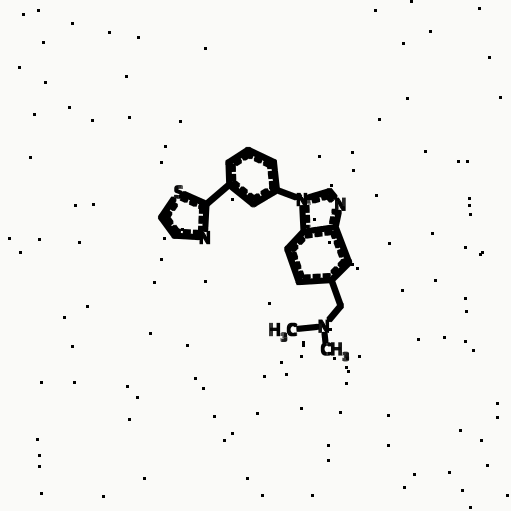 CN(C)Cc1ccc2c(c1)ncn2-c1cccc(-c2nccs2)c1